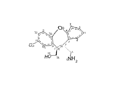 NC[C@H]1c2ccccc2Oc2ccc(Cl)cc2[C@@H]1CO